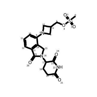 CS(=O)(=O)OCC1CN(c2cccc3c2CN(C2CCC(=O)NC2=O)C3=O)C1